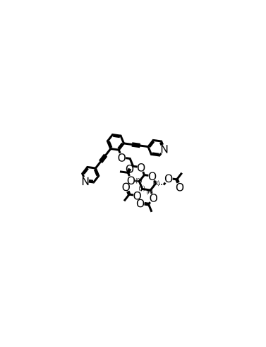 CC(=O)OC[C@H]1OC(OCCOc2c(C#Cc3ccncc3)cccc2C#Cc2ccncc2)[C@H](OC(C)=O)[C@@H](OC(C)=O)[C@@H]1OC(C)=O